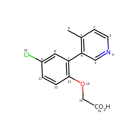 Cc1ccncc1-c1cc(Cl)ccc1OCC(=O)O